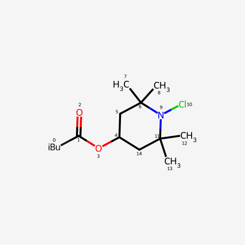 CCC(C)C(=O)OC1CC(C)(C)N(Cl)C(C)(C)C1